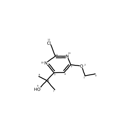 CCOc1cc(C(C)(C)O)nc(Cl)n1